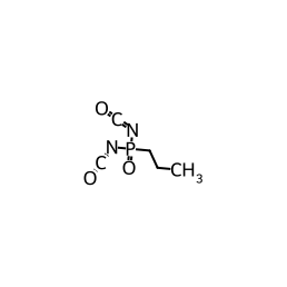 CCCP(=O)(N=C=O)N=C=O